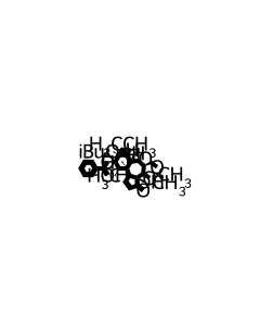 CCC(C)CO[C@@]12[C@H](OC(=O)c3ccccc3)[C@@H](C)[C@@]3(O)[C@H]([C@@H]1C2(C)C)[C@@H]1O[C@@]12COC(C)(C)OC2[C@]1(O)C(=O)C=C[C@@H]31